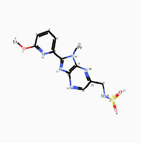 CCOc1cccc(-c2nc3ncc(CN[SH](=O)=O)nc3n2C(C)C)n1